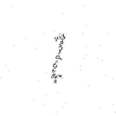 C=C(C)C(=O)O/C=C\Oc1ccc(/C=C/c2ccc(/C=C/c3ccc(O/C=C\OC(=O)C(=C)C)cc3)c(F)c2)cc1